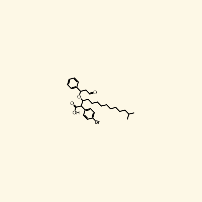 CC(C)CCCCCCCCCC(OC(CC=O)c1ccccc1)C(C(=O)O)c1ccc(Br)cc1